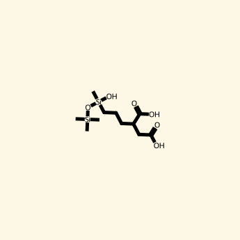 C[Si](C)(C)O[Si](C)(O)CCCC(CC(=O)O)C(=O)O